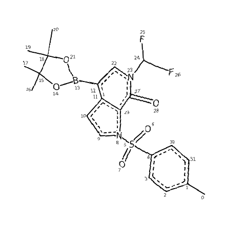 Cc1ccc(S(=O)(=O)n2ccc3c(B4OC(C)(C)C(C)(C)O4)cn(C(F)F)c(=O)c32)cc1